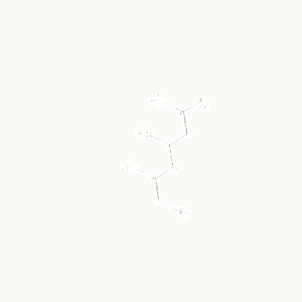 CCC(C)CC(C)CC(N)CC(C)C(C)=O